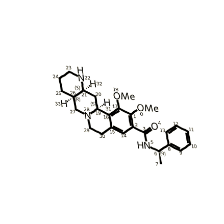 COc1c(C(=O)N[C@H](C)c2ccccc2)cc2c(c1OC)[C@@H]1C[C@@H]3NCCC[C@@H]3CN1CC2